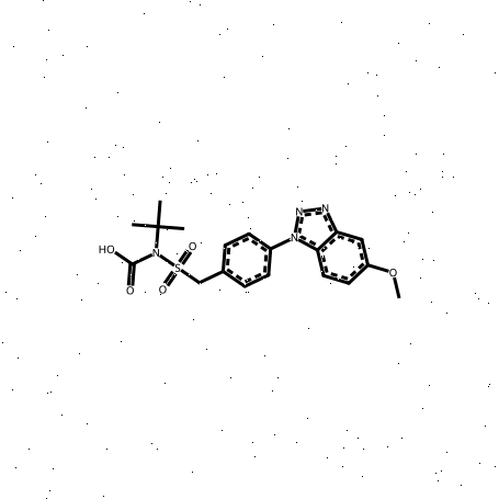 COc1ccc2c(c1)nnn2-c1ccc(CS(=O)(=O)N(C(=O)O)C(C)(C)C)cc1